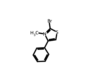 C[n+]1c(-c2ccccc2)csc1Br